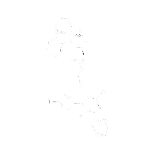 CC(C)c1nc(-c2ccccc2)c(F)c(-c2ccc(F)cc2)c1C#CCO[PH](=O)C[C@H](CC(=O)O)O[Si](c1ccccc1)(c1ccccc1)C(C)(C)C